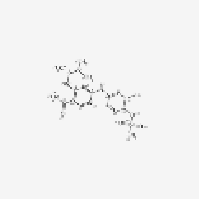 CC(C)[C@@H](C)Nc1nc(Nc2ccc(OS(C)(=O)=O)c(F)c2)ncc1C(N)=O